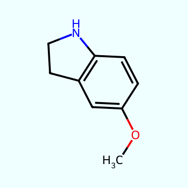 COc1ccc2c(c1)CCN2